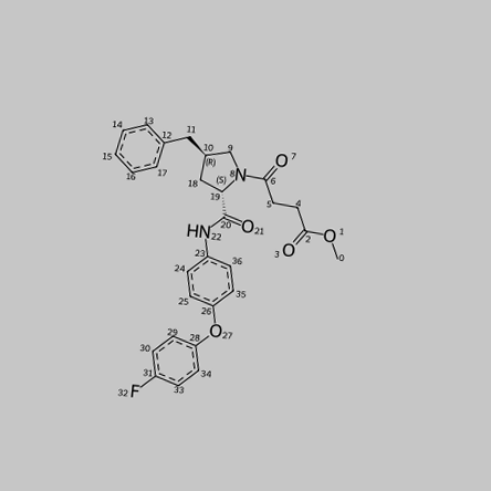 COC(=O)CCC(=O)N1C[C@H](Cc2ccccc2)C[C@H]1C(=O)Nc1ccc(Oc2ccc(F)cc2)cc1